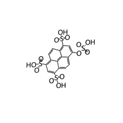 O=S(=O)(O)Oc1cc(S(=O)(=O)O)c2ccc3c(S(=O)(=O)O)cc(S(=O)(=O)O)c4ccc1c2c43